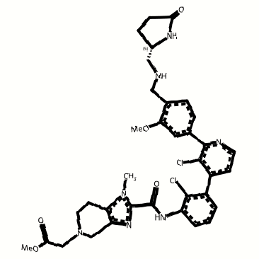 COC(=O)CN1CCc2c(nc(C(=O)Nc3cccc(-c4ccnc(-c5ccc(CNC[C@@H]6CCC(=O)N6)c(OC)c5)c4Cl)c3Cl)n2C)C1